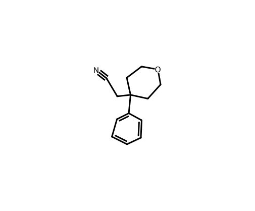 N#CCC1(c2ccccc2)CCOCC1